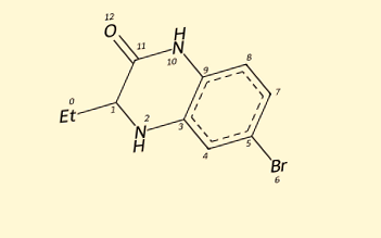 CCC1Nc2cc(Br)ccc2NC1=O